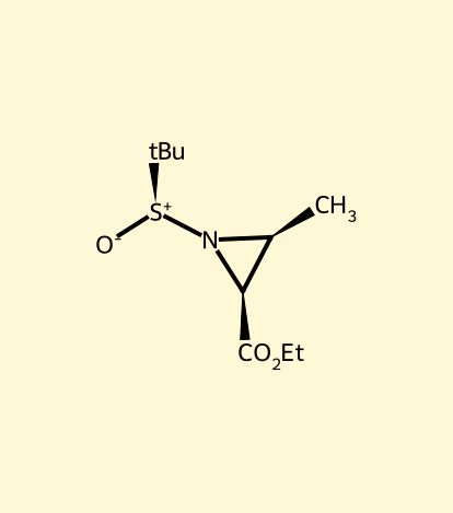 CCOC(=O)[C@@H]1[C@H](C)N1[S@@+]([O-])C(C)(C)C